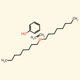 C=C.CCCCCCCCOCCCCCCCC.Oc1ccccc1